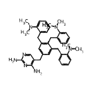 CN(C)c1ccccc1Cc1cc(Cc2cnc(N)nc2N)cc(Cc2ccccc2N(C)C)c1Cc1ccccc1N(C)C